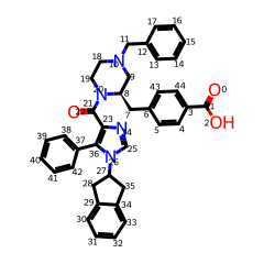 O=C(O)c1ccc(C[C@@H]2CN(Cc3ccccc3)CCN2C(=O)c2ncn(C3Cc4ccccc4C3)c2-c2ccccc2)cc1